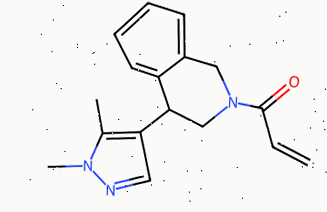 C=CC(=O)N1Cc2ccccc2C(c2cnn(C)c2C)C1